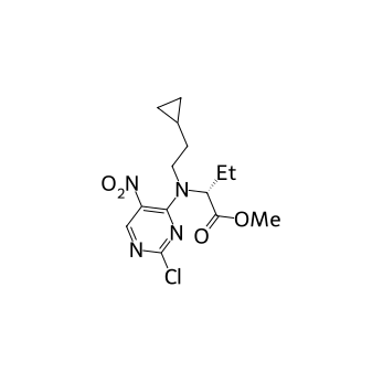 CC[C@H](C(=O)OC)N(CCC1CC1)c1nc(Cl)ncc1[N+](=O)[O-]